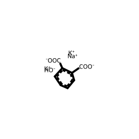 O=C([O-])c1ccccc1C(=O)[O-].[K+].[K+].[Na+].[OH-]